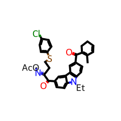 CCn1c2ccc(C(=O)C3=C(C)C=CCC3)cc2c2cc(C(=O)/C(CCSc3ccc(Cl)cc3)=N/OC(C)=O)ccc21